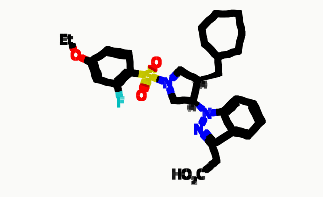 CCOc1ccc(S(=O)(=O)N2C[C@@H](CC3CCCCCC3)[C@@H](n3nc(CC(=O)O)c4ccccc43)C2)c(F)c1